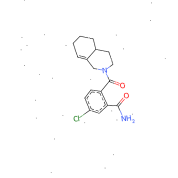 NC(=O)c1cc(Cl)ccc1C(=O)N1CCC2CCCC=C2C1